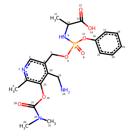 Cc1ncc(COP(=O)(NC(C)C(=O)O)Oc2ccccc2)c(CN)c1OC(=O)N(C)C